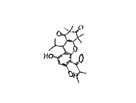 CCC(C)C(=O)c1c(O)cc(O)c2c1OC1=C(C(=O)C(C)(C)C(=O)C1(C)C)C2C(C)C